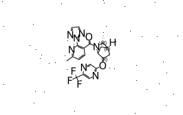 Cc1ccc(C(=O)N2C3C[C@H](C[C@H]3Oc3cnc(C(F)(F)F)cn3)[C@H]2C)c(-n2nccn2)n1